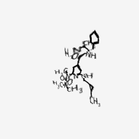 CC1CC1CNc1cc(C(=O)N[C@@H](Cc2ccccc2)C(C)N)cc(N(C)S(=O)(=O)N(C)C)n1